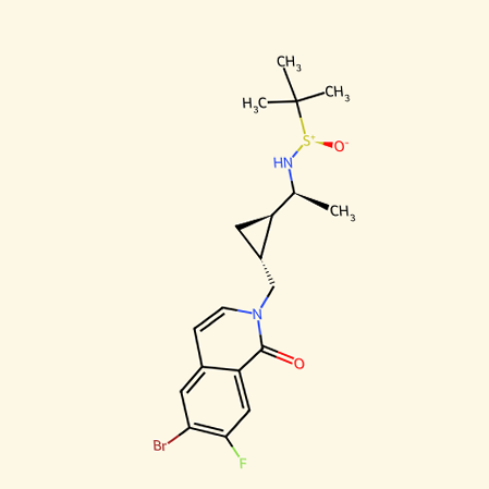 C[C@H](N[S@+]([O-])C(C)(C)C)[C@@H]1C[C@H]1Cn1ccc2cc(Br)c(F)cc2c1=O